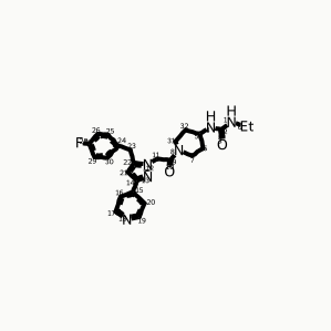 CCNC(=O)NC1CCN(C(=O)Cn2nc(-c3ccncc3)cc2Cc2ccc(F)cc2)CC1